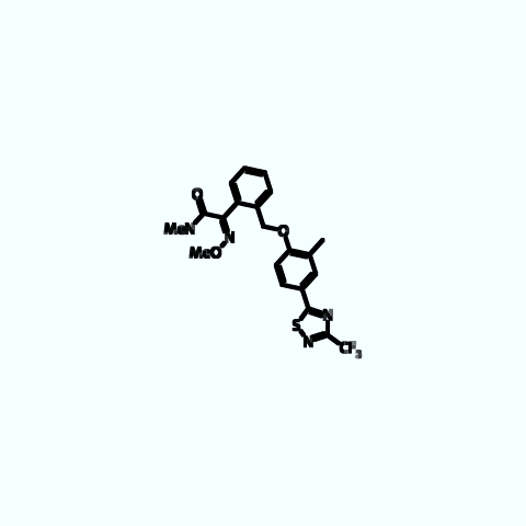 CNC(=O)C(=NOC)c1ccccc1COc1ccc(-c2nc(C(F)(F)F)ns2)cc1C